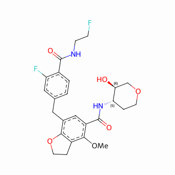 COc1c(C(=O)N[C@H]2CCOC[C@@H]2O)cc(Cc2ccc(C(=O)NCCF)c(F)c2)c2c1CCO2